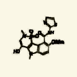 COc1ccc2c(c1C(=O)Nc1nccs1)c1c(n2C)C(O)=CN(C)S1(=O)=O